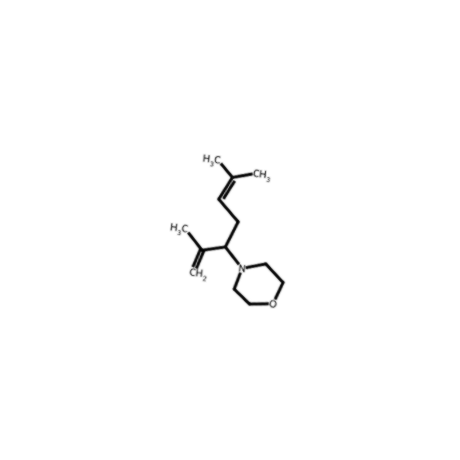 C=C(C)C(CC=C(C)C)N1CCOCC1